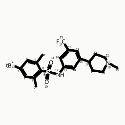 Cc1cc(C(C)(C)C)cc(C)c1S(=O)(=O)Nc1cc(C2CCN(C)CC2)cc(C(F)(F)F)c1